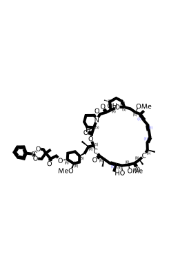 CO[C@H]1C[C@@H]2CC[C@@H](C)[C@@](O)(O2)C(=O)C(=O)N2CCCC[C@H]2C(=O)O[C@H]([C@H](C)C[C@@H]2CC[C@@H](OCC(=O)C3(C)COB(c4ccccc4)OC3)[C@H](OC)C2)CC(=O)[C@H](C)/C=C(\C)[C@@H](O)[C@@H](OC)C(=O)[C@H](C)C[C@H](C)/C=C/C=C/C=C/1C